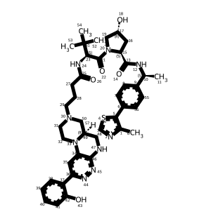 Cc1ncsc1-c1ccc([C@H](C)NC(=O)[C@@H]2C[C@@H](O)CN2C(=O)[C@@H](NC(=O)CCCN2CCN3c4cc(-c5ccccc5O)nnc4NC[C@@H]3C2)C(C)(C)C)cc1